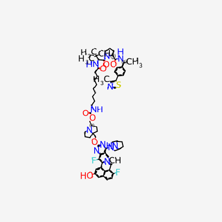 C#Cc1c(F)ccc2cc(O)cc(-c3ncc4c(N5CC6CCC(C5)N6)nc(OCC56CCCN5[C@@H](COC(=O)NCCCCCCCCCC(=O)NC(C(=O)N5CCC[C@H]5C(=O)N[C@@H](C)c5ccc(-c7scnc7C)cc5)C(C)(C)C)CC6)nc4c3F)c12